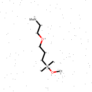 CCO[Si](C)(C)CCCOCCNC